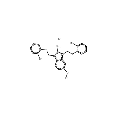 CCOc1ccc2c(c1)[n+](CSc1ccccc1Br)c(N)n2CSc1ccccc1Br.[Cl-]